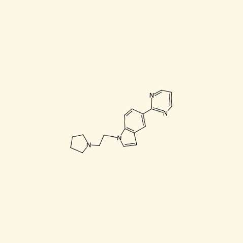 c1cnc(-c2ccc3c(ccn3CCN3CCCC3)c2)nc1